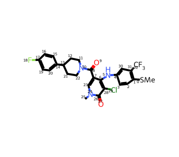 CSc1ccc(Nc2c(C(=O)N3CCC(c4ccc(F)cc4)CC3)cn(C)c(=O)c2Cl)cc1C(F)(F)F